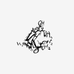 C=CC[C@H](NC(=O)O)c1cc(-c2c(NC(=O)C(C)C=C)cnn2C)ccn1